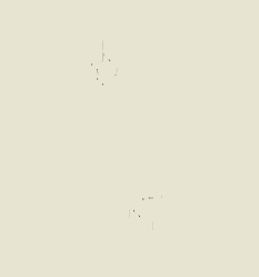 CNC(=O)CCCCCCCCc1c[nH]nn1